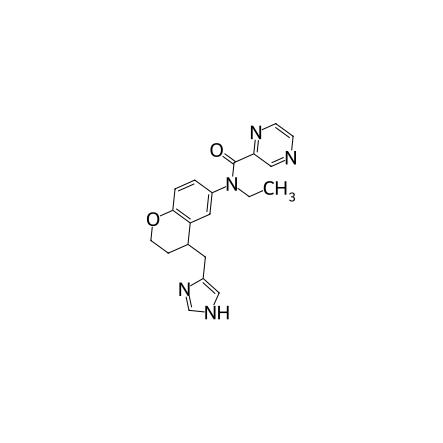 CCN(C(=O)c1cnccn1)c1ccc2c(c1)C(Cc1c[nH]cn1)CCO2